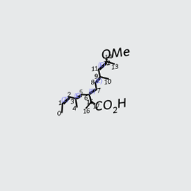 C\C=C/C(C)=C/C(=C\C=C(C)\C=C(/C)OC)C(C)C(=O)O